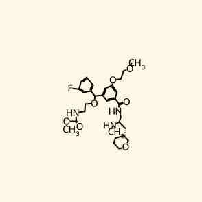 CNC(CNC(=O)c1cc(OCCOC)cc(C(OCCNC(=O)OC)c2cccc(F)c2)c1)C[C@H]1CCCOC1